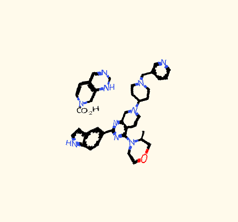 C[C@H]1COCCN1c1nc(-c2ccc3[nH]ccc3c2)nc2c1CCN(C1CCN(Cc3cccnc3)CC1)C2.O=C(O)N1C=CC2=C(C1)NCN=C2